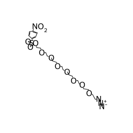 [N-]=[N+]=NCCOCCOCCOCCOCCOCCOCCOCCOS(=O)(=O)c1ccc([N+](=O)[O-])cc1